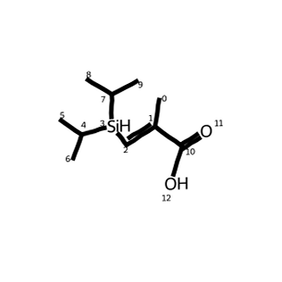 CC(=C[SiH](C(C)C)C(C)C)C(=O)O